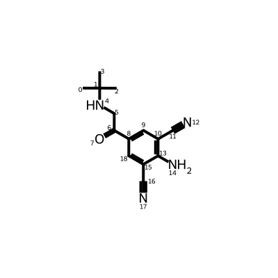 CC(C)(C)NCC(=O)c1cc(C#N)c(N)c(C#N)c1